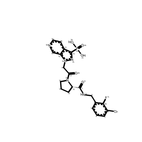 O=C(NCc1cccc(Cl)c1F)[C@@H]1CCCN1C(=O)Cn1nc(P(=O)(O)O)c2ccncc21